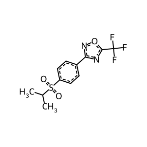 CC(C)S(=O)(=O)c1ccc(-c2noc(C(F)(F)F)n2)cc1